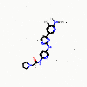 CCCN(CC)c1ncc(-c2ccnc(Nc3ccc(NC(=O)CN4CCCC4)nc3)n2)cc1C#N